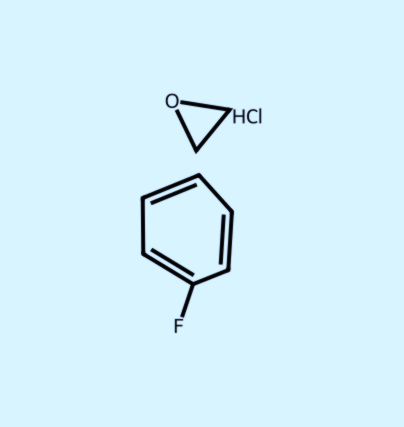 C1CO1.Cl.Fc1ccccc1